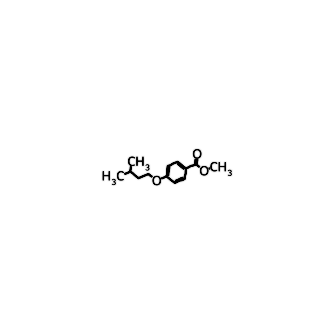 COC(=O)c1ccc(OCCC(C)C)cc1